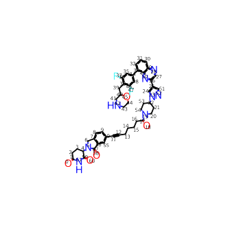 O=C1CCC(N2Cc3ccc(C#CCCCCC(=O)N4CCC(n5cc(-c6cnc7cccc(-c8cc(F)c(CC9CNCCO9)c(F)c8)c7n6)cn5)CC4)cc3C2=O)C(=O)N1